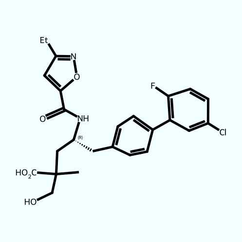 CCc1cc(C(=O)N[C@H](Cc2ccc(-c3cc(Cl)ccc3F)cc2)CC(C)(CO)C(=O)O)on1